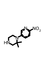 CC1(C)CNCCN1c1ccc([N+](=O)[O-])nc1